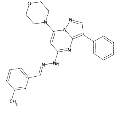 Cc1cccc(C=NNc2cc(N3CCOCC3)n3ncc(-c4ccccc4)c3n2)c1